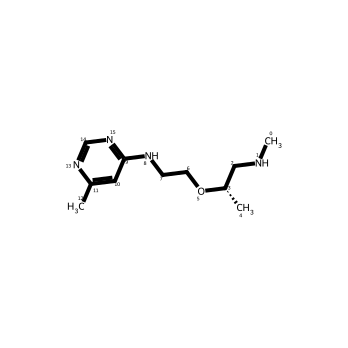 CNC[C@H](C)OCCNc1cc(C)ncn1